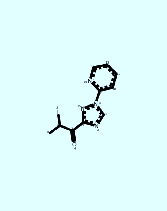 CC(I)C(=O)c1ncn(-c2ccccn2)n1